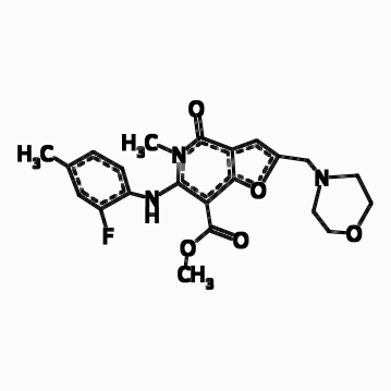 COC(=O)c1c(Nc2ccc(C)cc2F)n(C)c(=O)c2cc(CN3CCOCC3)oc12